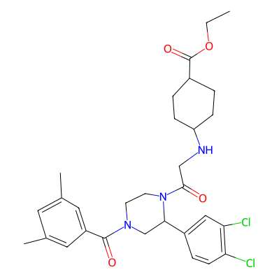 CCOC(=O)C1CCC(NCC(=O)N2CCN(C(=O)c3cc(C)cc(C)c3)CC2c2ccc(Cl)c(Cl)c2)CC1